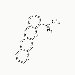 C[SiH2]c1cccc2cc3cc4ccccc4cc3cc12